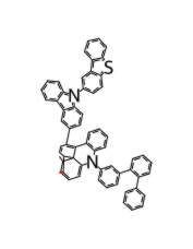 CC1C=CC=C2N(c3cccc(-c4ccccc4-c4ccccc4)c3)c3ccccc3C3=C(c4ccc5c(c4)c4ccccc4n5-c4ccc5sc6ccccc6c5c4)C=CC(C)C231